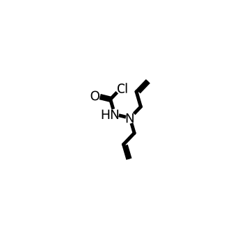 C=CCN(CC=C)NC(=O)Cl